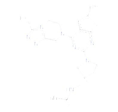 CCCC(=O)NC[C@H]1CCN(c2nc(N3CCn4c(nnc4C(F)(F)F)C3)c3cc(CCC)sc3n2)C1